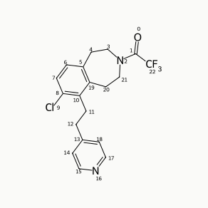 O=C(N1CCc2ccc(Cl)c(CCc3ccncc3)c2CC1)C(F)(F)F